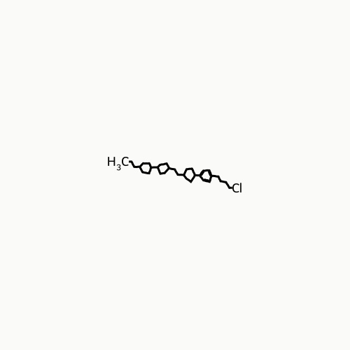 CCCC1CCC(C2CCC(CCC3CCC(c4ccc(CCCCCl)cc4)CC3)CC2)CC1